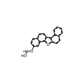 OBOc1ccc2ccc3c(oc4ccc5ccccc5c43)c2c1